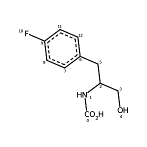 O=C(O)NC(CO)Cc1ccc(F)cc1